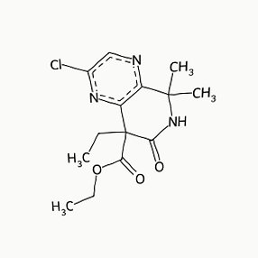 CCOC(=O)C1(CC)C(=O)NC(C)(C)c2ncc(Cl)nc21